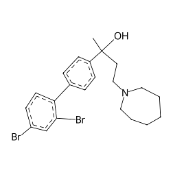 CC(O)(CCN1CCCCCC1)c1ccc(-c2ccc(Br)cc2Br)cc1